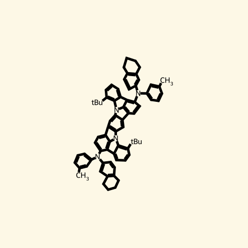 Cc1cccc(N(c2ccc3c(c2)CCCC3)c2ccc3c4cc5c(cc4n4c6c(C(C)(C)C)cccc6c2c34)c2ccc(N(c3cccc(C)c3)c3ccc4c(c3)CCCC4)c3c4cccc(C(C)(C)C)c4n5c23)c1